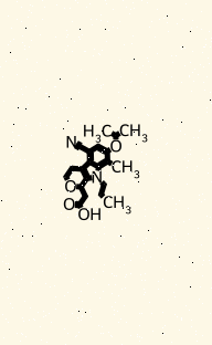 CCCn1c2c(c3c(C#N)cc(OC(C)C)c(C)c31)CCOC2CC(=O)O